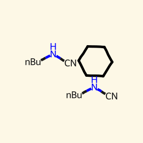 C1CCCCC1.CCCCNC#N.CCCCNC#N